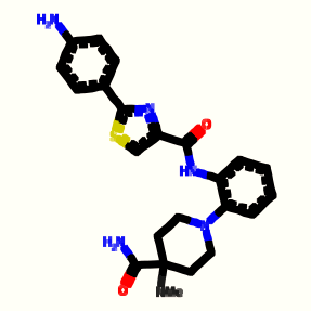 CNC1(C(N)=O)CCN(c2ccccc2NC(=O)c2csc(-c3ccc(N)cc3)n2)CC1